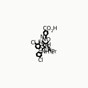 CC(C)CCN1[C@H]2COc3c4ccc(C(=O)O)cc4nn3C[C@H]2[C@H](c2cccc(Cl)c2F)[C@]1(C)C(=O)Nc1cccc(Cl)c1